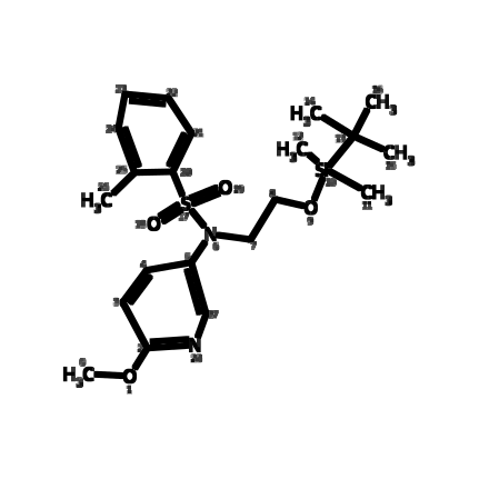 COc1ccc(N(CCO[Si](C)(C)C(C)(C)C)S(=O)(=O)c2ccccc2C)cn1